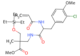 C=CC(=O)NC(Cc1ccc(OC)c(Cl)c1)C(=O)NCC(C)(CO[Si](CC)(CC)CC)C(=O)OC